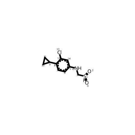 O=[SH](=O)CNc1ccc(C2[CH]C2)c(Cl)c1